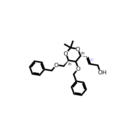 CC1(C)O[C@H](/C=C/CO)C(OCc2ccccc2)[C@@H](COCc2ccccc2)O1